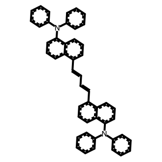 C(C=Cc1cccc2c(N(c3ccccc3)c3ccccc3)cccc12)=Cc1cccc2c(N(c3ccccc3)c3ccccc3)cccc12